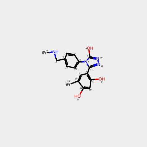 CC(C)NCc1ccc(-n2c(O)nnc2-c2cc(C(C)C)c(O)cc2O)cc1